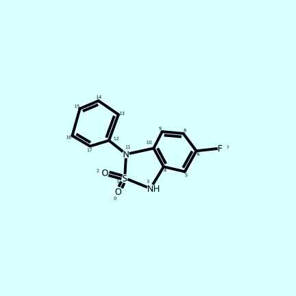 O=S1(=O)Nc2cc(F)ccc2N1c1ccccc1